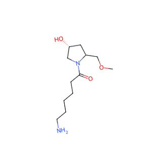 COCC1C[C@@H](O)CN1C(=O)CCCCCN